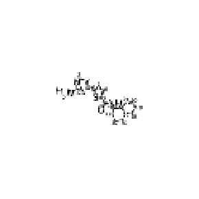 Nc1nccc(-c2ccc(C(=O)N[C@H]3CCCc4ccccc43)s2)n1